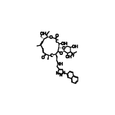 CC[C@H]1OC(=O)C[C@@H](O)[C@H](C)[C@@H](O[C@@H]2O[C@H](C)C(O)C(N(C)C)C2O)[C@@H](CCNCc2cn(-c3ccc4ccccc4c3)nn2)C[C@@H](C)C(=O)/C=C/C(C)=C/[C@@H]1CO